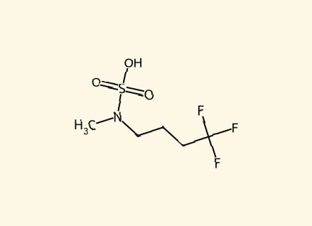 CN(CCCC(F)(F)F)S(=O)(=O)O